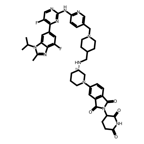 Cc1nc2c(F)cc(-c3nc(Nc4ccc(CN5CCC(CN[C@H]6CCCN(c7ccc8c(c7)C(=O)N(C7CCC(=O)NC7=O)C8=O)C6)CC5)cn4)ncc3F)cc2n1C(C)C